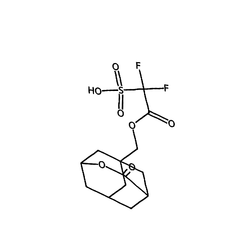 O=C1OC2CC3CC1CC(COC(=O)C(F)(F)S(=O)(=O)O)(C3)C2